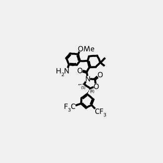 COc1ccc(N)cc1C1=C(C(=O)N2C(=O)O[C@H](c3cc(C(F)(F)F)cc(C(F)(F)F)c3)[C@@H]2C)CC(C)(C)CC1